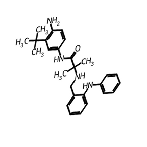 CC(C)(NCc1ccccc1Nc1ccccc1)C(=O)Nc1ccc(N)c(C(C)(C)C)c1